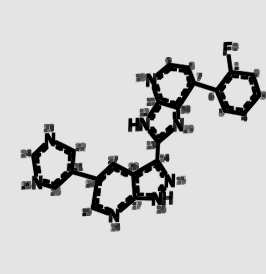 Fc1ccccc1-c1ccnc2[nH]c(-c3n[nH]c4ncc(-c5cncnc5)cc34)nc12